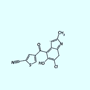 CC1=[C]C2=C(C(=O)c3csc(C#N)c3)C(O)=C(Cl)CC2=N1